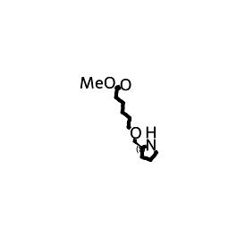 COC(=O)CCCCCOC[C@@H]1CCCN1